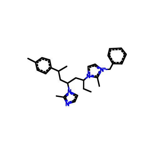 CCC(CC(CC(C)c1ccc(C)cc1)n1ccnc1C)n1cc[n+](Cc2ccccc2)c1C